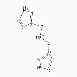 B(Oc1cc[nH]c1)Oc1cc[nH]c1